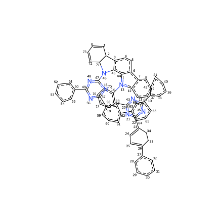 C1=CC2c3ccc4c5ccccc5n(-c5ccccc5-c5nc(C6=CC=C(c7ccccc7)CC6)nc(-c6ccccc6)n5)c4c3N(c3nc(-c4ccccc4)nc(-c4cccc(-c5ccccc5)c4)n3)C2C=C1